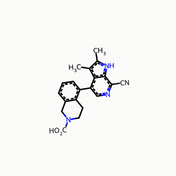 Cc1[nH]c2c(C#N)ncc(-c3cccc4c3CCN(C(=O)O)C4)c2c1C